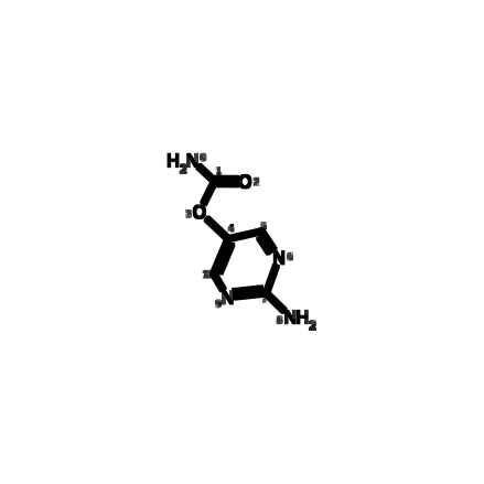 NC(=O)Oc1cnc(N)nc1